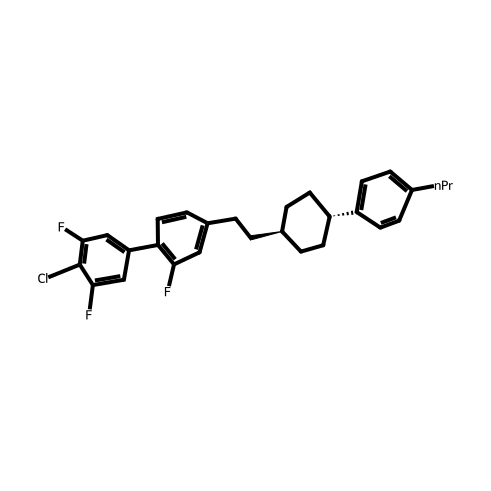 CCCc1ccc([C@H]2CC[C@H](CCc3ccc(-c4cc(F)c(Cl)c(F)c4)c(F)c3)CC2)cc1